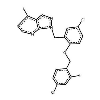 Fc1cc(Cl)ccc1COc1ccc(Cl)cc1Cn1ncc2c(I)ccnc21